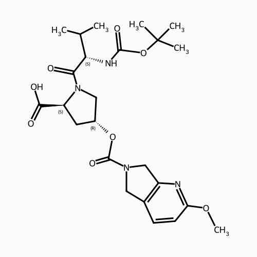 COc1ccc2c(n1)CN(C(=O)O[C@@H]1C[C@@H](C(=O)O)N(C(=O)[C@@H](NC(=O)OC(C)(C)C)C(C)C)C1)C2